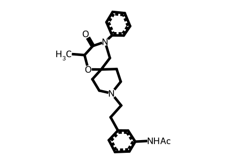 CC(=O)Nc1cccc(CCN2CCC3(CC2)CN(c2ccccc2)C(=O)C(C)O3)c1